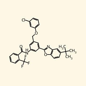 CC(C)(C)c1ccc2oc(-c3cc(COc4cccc(Cl)c4)cc(NC(=O)c4ccccc4C(F)(F)F)c3)nc2c1